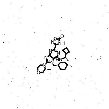 C[C@@H](Nc1nc(-c2noc(=O)[nH]2)nc2nc(N3CCOC[C@@H]3C)n(C[C@H]3CC[C@H](C)CC3)c12)C1CCC1